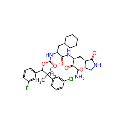 CC(C)(c1cccc(Cl)c1)C(OC(=O)N[C@@H](CC1CCCCC1)C(=O)N[C@@H](C[C@@H]1CCNC1=O)C(=O)C(N)=O)c1cccc(F)c1